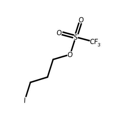 O=S(=O)(OCCCI)C(F)(F)F